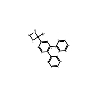 BrC1(c2ccc(-c3ccccc3)c(-c3ccccc3)c2)OCO1